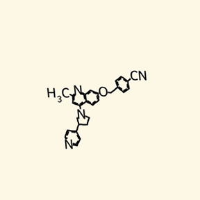 Cc1cc(N2CCC(c3ccncc3)C2)c2ccc(OCc3ccc(C#N)cc3)cc2n1